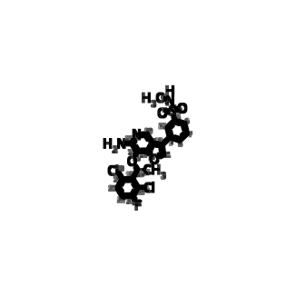 CNS(=O)(=O)c1cccc(-c2coc3c(O[C@H](C)c4c(Cl)ccc(F)c4Cl)c(N)ncc23)c1